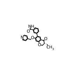 CC[C@@H]1COc2cc(OCc3ccncc3)c(-c3cccc(C(N)=O)c3)cc2C1=O